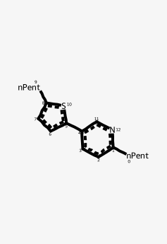 CCCCCc1ccc(-c2ccc(CCCCC)s2)cn1